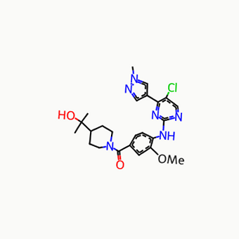 COc1cc(C(=O)N2CCC(C(C)(C)O)CC2)ccc1Nc1ncc(Cl)c(-c2cnn(C)c2)n1